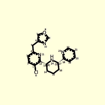 Clc1ccc(Cc2cocn2)nc1[C@H]1CCC[C@@H](c2ccccn2)N1